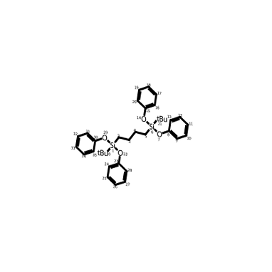 CC(C)(C)[Si](CCCC[Si](Oc1ccccc1)(Oc1ccccc1)C(C)(C)C)(Oc1ccccc1)Oc1ccccc1